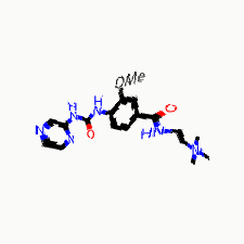 COc1cc(C(=O)NCC[N+](C)(C)C)ccc1NC(=O)Nc1cnccn1